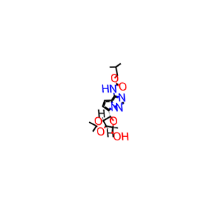 CC(C)COC(=O)Nc1ncnn2c([C@@H]3O[C@](C)(CO)[C@H]4OC(C)(C)O[C@@H]34)ccc12